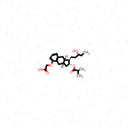 CC[C@H](O)CC[C@@H]1[C@H]2Cc3cccc(OCC(=O)O)c3C[C@H]2C[C@H]1OC(=O)C(C)C